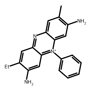 CCc1cc2nc3cc(C)c(N)cc3[n+](-c3ccccc3)c2cc1N